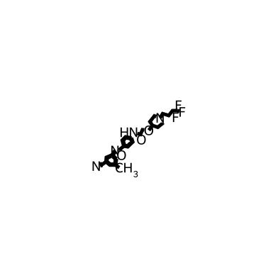 Cc1cc(C#N)cc2nc(-c3ccc(NC(=O)COC4CCN(CCCC(F)(F)F)CC4)cc3)oc12